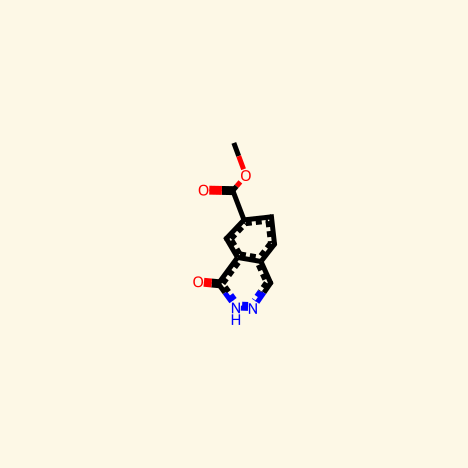 COC(=O)c1ccc2cn[nH]c(=O)c2c1